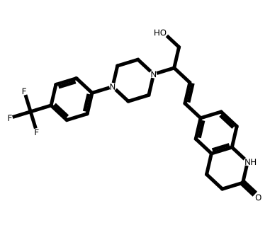 O=C1CCc2cc(/C=C/C(CO)N3CCN(c4ccc(C(F)(F)F)cc4)CC3)ccc2N1